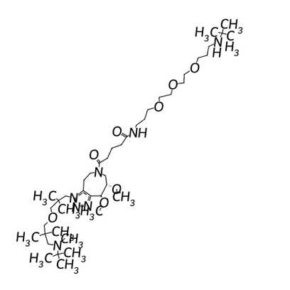 CO[C@H]1CN(C(=O)CCCC(=O)NCCCOCCOCCOCCCNC(C)(C)C)CCc2c(nnn2CC(C)(C)COCC(C)(C)CN(C)C(C)(C)C)[C@@H]1OC